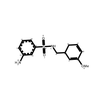 COC1=CC(CNS(=O)(=O)c2cccc(N)c2)CC=C1